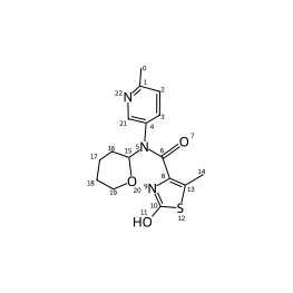 Cc1ccc(N(C(=O)c2nc(O)sc2C)C2CCCCO2)cn1